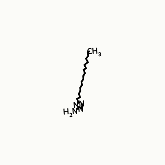 CCCCCCCCCCCCCCCCCCc1ncnc(N)n1